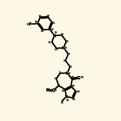 COC1CCN(CCCN2CCN(c3cccc(F)c3)CC2)C(=O)c2ccn(C)c21